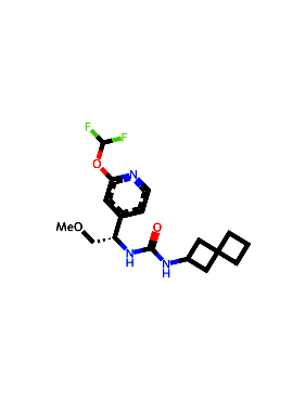 COC[C@@H](NC(=O)NC1CC2(CCC2)C1)c1ccnc(OC(F)F)c1